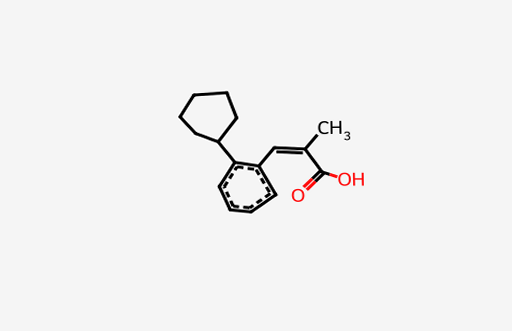 CC(=Cc1ccccc1C1CCCCC1)C(=O)O